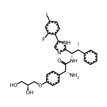 C[C@H](c1ccccc1)[C@H](NC(=O)[C@H](N)c1ccc(OC[C@@H](O)CO)cc1)c1ncc(-c2ccc(I)cc2F)[nH]1